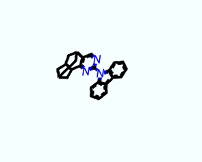 c1ccc2c(c1)c1ccccc1n2-c1ncc2c(n1)C1CC3CC2CC1C3